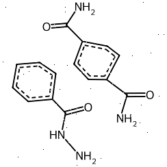 NC(=O)c1ccc(C(N)=O)cc1.NNC(=O)c1ccccc1